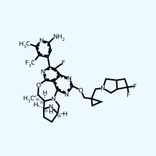 Cc1nc(N)cc(-c2nc3c4c(nc(OCC5(CN6CC7CC(F)(F)C7C6)CC5)nc4c2F)N2C[C@H]4CC[C@H](N4)[C@H]2[C@H](C)O3)c1C(F)(F)F